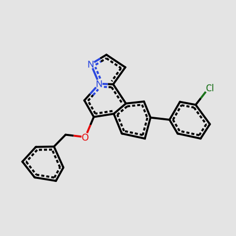 Clc1cccc(-c2ccc3c(OCc4ccccc4)cn4nccc4c3c2)c1